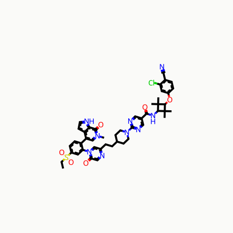 CCS(=O)(=O)c1ccc(-c2cn(C)c(=O)c3[nH]ccc23)c(-n2cc(CCC3CCN(c4ncc(C(=O)NC5C(C)(C)C(Oc6ccc(C#N)c(Cl)c6)C5(C)C)cn4)CC3)ncc2=O)c1